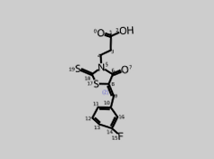 O=C(O)CCN1C(=O)/C(=C/c2cccc(F)c2)SC1=S